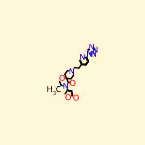 CC1COC2(CCN(CCc3ccc(-n4cnnn4)nc3)CC2)C(=O)N1C1=CC(=O)OC1